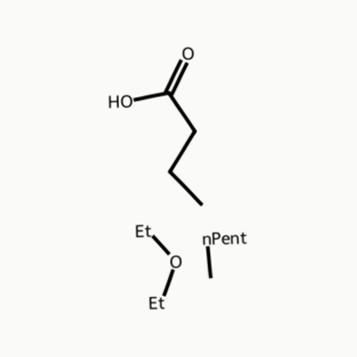 CCCC(=O)O.CCCCCC.CCOCC